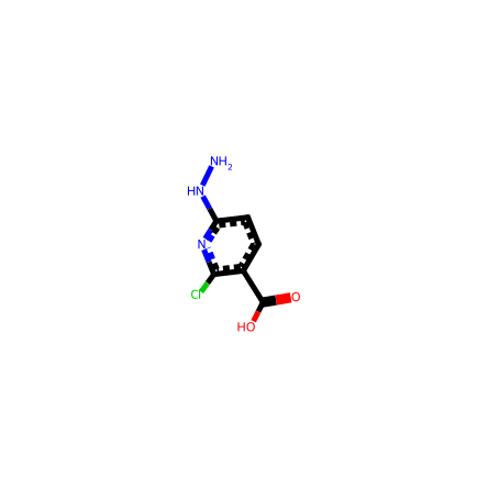 NNc1ccc(C(=O)O)c(Cl)n1